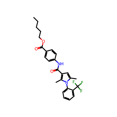 CCCCCOC(=O)c1ccc(NC(=O)c2cc(C)n(-c3ccccc3C(F)(F)F)c2C)cc1